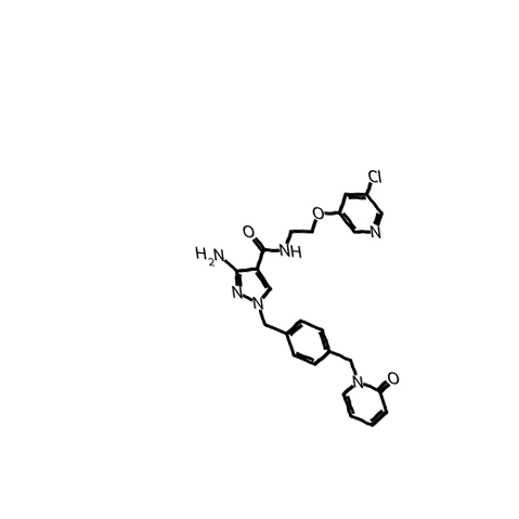 Nc1nn(Cc2ccc(Cn3ccccc3=O)cc2)cc1C(=O)NCCOc1cncc(Cl)c1